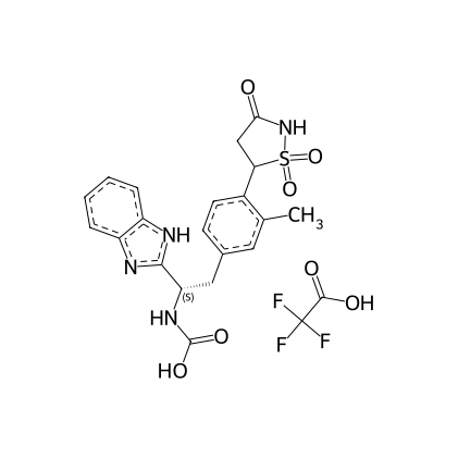 Cc1cc(C[C@H](NC(=O)O)c2nc3ccccc3[nH]2)ccc1C1CC(=O)NS1(=O)=O.O=C(O)C(F)(F)F